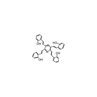 Oc1ccccc1C=Cc1nc(C=Cc2ccccc2O)c(C=Cc2ccccc2O)nc1C=Cc1ccccc1O